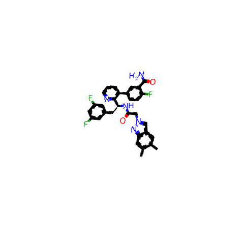 Cc1cc2cn(CC(=O)N[C@@H](Cc3cc(F)cc(F)c3)c3ncccc3-c3ccc(F)c(C(N)=O)c3)nc2cc1C